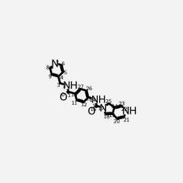 O=C(NCc1ccncc1)c1ccc(NC(=O)N2C=C3C=CNC=C3C2)cc1